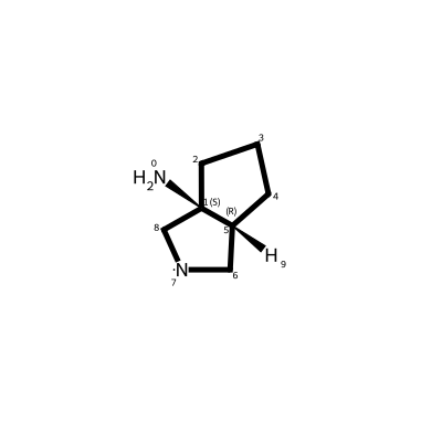 N[C@@]12CCC[C@@H]1C[N]C2